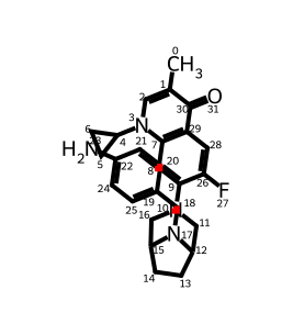 Cc1cn(C2CC2)c2cc(N3CC4CCC(C3)N4Cc3ccc(N)cc3)c(F)cc2c1=O